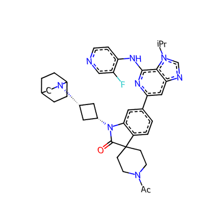 CC(=O)N1CCC2(CC1)C(=O)N([C@H]1C[C@@H](N3CC4CCC3CC4)C1)c1cc(-c3cc4ncn(C(C)C)c4c(Nc4ccncc4F)n3)ccc12